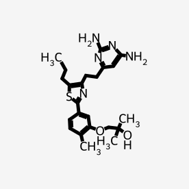 CCCc1sc(-c2ccc(C)c(OCC(C)(C)O)c2)nc1CCc1cc(N)nc(N)n1